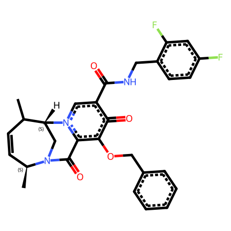 CC1C=C[C@H](C)N2C[C@H]1n1cc(C(=O)NCc3ccc(F)cc3F)c(=O)c(OCc3ccccc3)c1C2=O